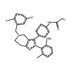 Cc1cccc(OCC(C)C)c1-n1nc2c(c1-c1ccc(NC(N)=O)cc1)CN(Cc1cc(Cl)ccc1F)CC2